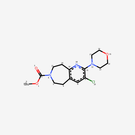 CC(C)(C)OC(=O)N1CCc2cc(Cl)c(N3CCOCC3)nc2CC1